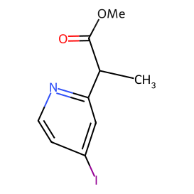 COC(=O)C(C)c1cc(I)ccn1